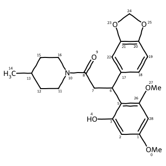 COc1cc(O)c(C(CC(=O)N2CCC(C)CC2)c2ccc3c(c2)OCO3)c(OC)c1